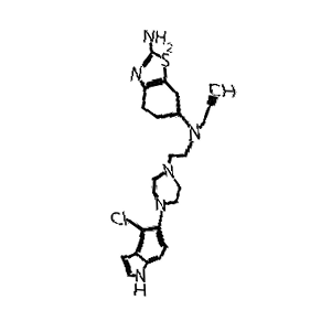 C#CCN(CCN1CCN(c2ccc3[nH]ccc3c2Cl)CC1)C1CCc2nc(N)sc2C1